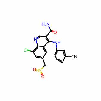 N#Cc1cccc(Nc2c(C(N)=O)cnc3c(Cl)cc(C[SH](=O)=O)cc23)c1